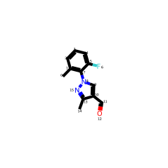 Cc1cccc(F)c1-n1cc(C=O)c(C)n1